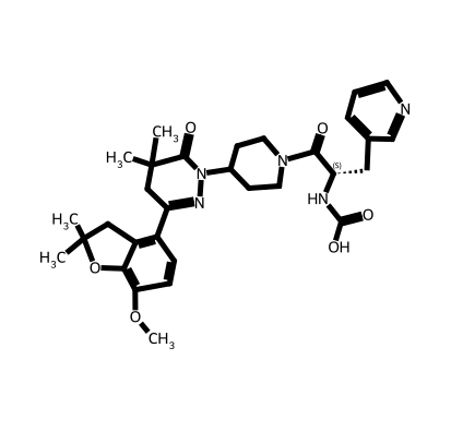 COc1ccc(C2=NN(C3CCN(C(=O)[C@H](Cc4cccnc4)NC(=O)O)CC3)C(=O)C(C)(C)C2)c2c1OC(C)(C)C2